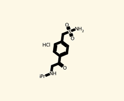 CC(C)NCC(=O)c1ccc(CS(N)(=O)=O)cc1.Cl